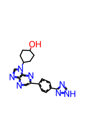 OC1CCC(n2cnc3ncc(-c4ccc(-c5nc[nH]n5)cc4)nc32)CC1